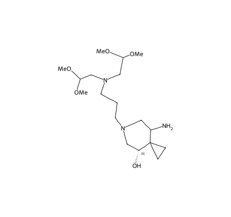 COC(CN(CCCN1CC(N)C2(CC2)[C@H](O)C1)CC(OC)OC)OC